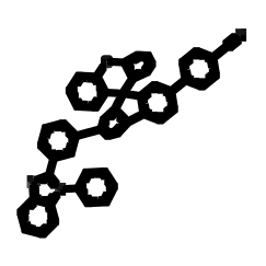 N#Cc1ccc(-c2ccc3c(c2)C2(c4ccccc4Oc4ccccc42)c2cc(-c4cccc(-c5nc6ccccc6n5-c5ccccc5)c4)ccc2-3)cc1